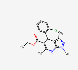 CCOC(=O)C1=C(C)Nc2c(c(C)nn2C)C1c1ccccc1Cl